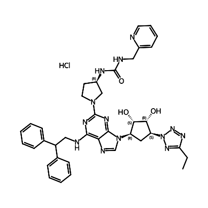 CCc1nnn([C@H]2C[C@@H](n3cnc4c(NCC(c5ccccc5)c5ccccc5)nc(N5CC[C@@H](NC(=O)NCc6ccccn6)C5)nc43)[C@H](O)[C@@H]2O)n1.Cl